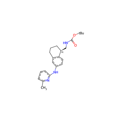 Cc1cccc(Nc2ccc3c(c2)CCC[C@H]3CNC(=O)OC(C)(C)C)n1